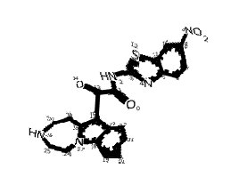 O=C(Nc1nc2ccc([N+](=O)[O-])cc2s1)C(=O)c1c2n(c3ccccc13)CCNCC2